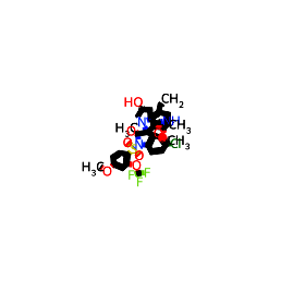 C=Cc1ccc(OC)c(C2([N+]3(C)C[C@H](O)C[C@H]3C(=O)NC)C(=O)N(S(=O)(=O)c3ccc(OC)cc3OC(F)(F)F)c3ccc(Cl)cc32)c1